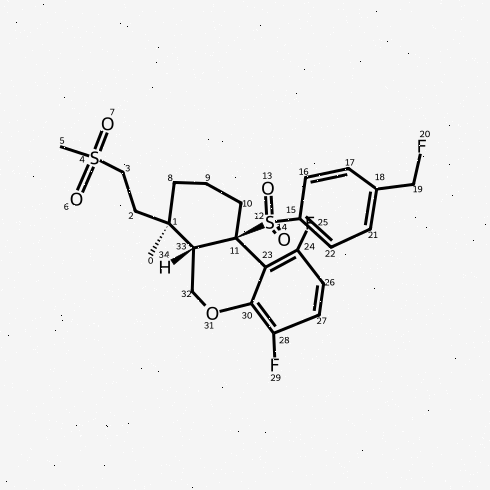 C[C@]1(CCS(C)(=O)=O)CCC[C@]2(S(=O)(=O)c3ccc(CF)cc3)c3c(F)ccc(F)c3OC[C@H]12